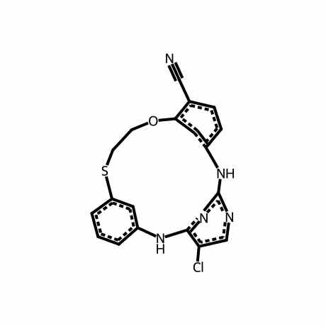 N#Cc1ccc2cc1OCCSc1cccc(c1)Nc1nc(ncc1Cl)N2